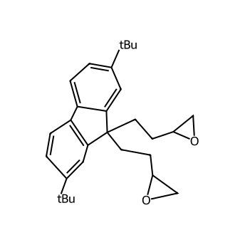 CC(C)(C)c1ccc2c(c1)C(CCC1CO1)(CCC1CO1)c1cc(C(C)(C)C)ccc1-2